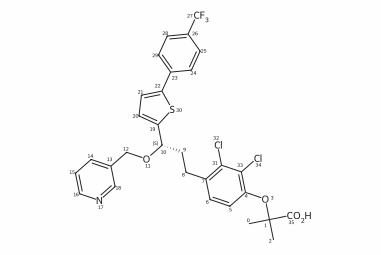 CC(C)(Oc1ccc(CC[C@H](OCc2cccnc2)c2ccc(-c3ccc(C(F)(F)F)cc3)s2)c(Cl)c1Cl)C(=O)O